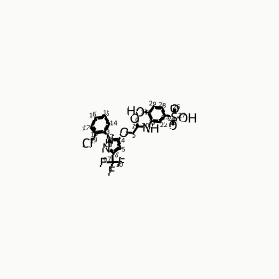 O=C(COc1cc(C(F)(F)F)nn1-c1ccccc1Cl)Nc1cc(S(=O)(=O)O)ccc1O